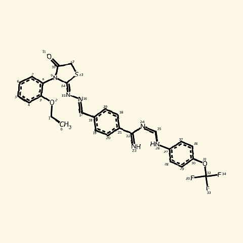 CCOc1ccccc1N1C(=O)CS/C1=N\N=C\c1ccc(C(=N)/N=C\Nc2ccc(OC(F)(F)F)cc2)cc1